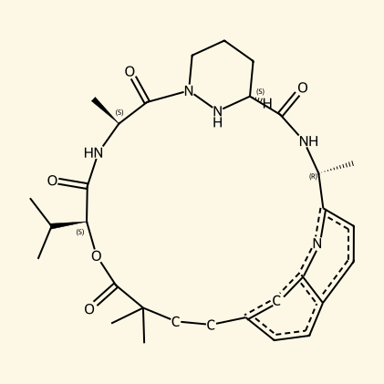 CC(C)[C@@H]1OC(=O)C(C)(C)CCc2ccc3ccc(nc3c2)[C@@H](C)NC(=O)[C@@H]2CCCN(N2)C(=O)[C@H](C)NC1=O